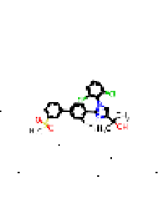 Cc1cc(-c2cccc(S(C)(=O)=O)c2)ccc1-c1nc(C(C)(C)O)cn1-c1c(Cl)cccc1Cl